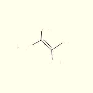 CCCCCC/C(C(=O)OCC)=C(\CCCCC)C(=O)OCC